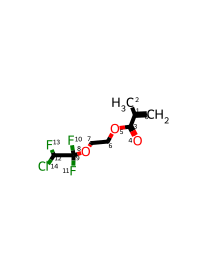 C=C(C)C(=O)OCCOC(F)(F)C(F)Cl